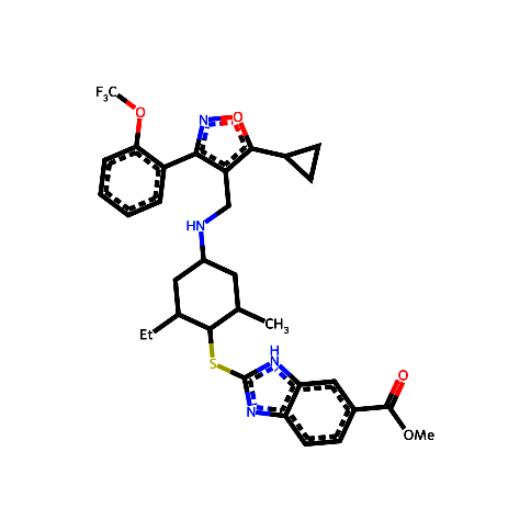 CCC1CC(NCc2c(-c3ccccc3OC(F)(F)F)noc2C2CC2)CC(C)C1Sc1nc2ccc(C(=O)OC)cc2[nH]1